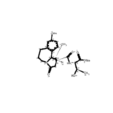 COC(=O)[C@@H](NC(=O)[C@@H]1[C@@H](C)C[C@@]23c4ccc(OC)cc4CCCN2C(=O)C[C@@H]13)[C@@H](C)O